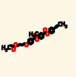 C=CC(=O)OCCCCOc1ccc(C(=O)Oc2ccc(C(=O)Oc3ccc(C#CC)cc3)cc2C)cc1